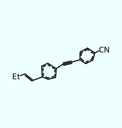 CCC=Cc1ccc(C#Cc2ccc(C#N)cc2)cc1